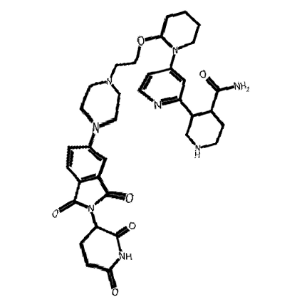 NC(=O)C1CCNCC1c1cc(N2CCCCC2OCCN2CCN(c3ccc4c(c3)C(=O)N(C3CCC(=O)NC3=O)C4=O)CC2)ccn1